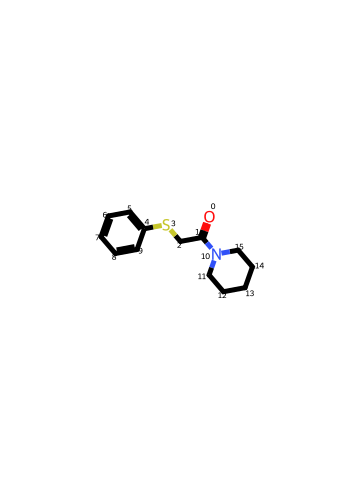 O=C(CSc1ccccc1)N1CCCCC1